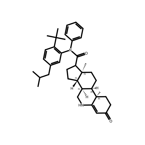 CC(C)Cc1ccc(C(C)(C)C)c(N(C(=O)C2CC[C@H]3[C@@H]4CNC5=CC(=O)CC[C@]5(C)[C@@H]4CC[C@]23C)c2ccccc2)c1